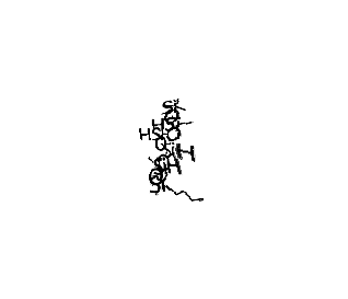 CCCC[Si](C)(C)O[SiH](C)O[SiH](C)O[SiH](C)O[SiH](C)O[Si](C)(C)C